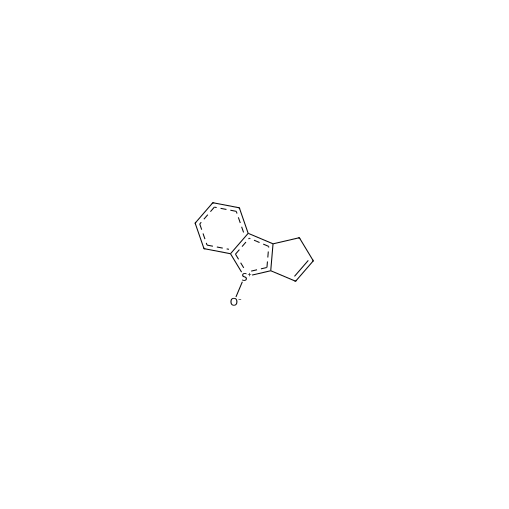 [O-][s+]1c2c(c3ccccc31)CC=C2